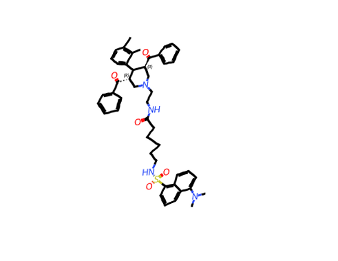 Cc1cccc(C2[C@@H](C(=O)c3ccccc3)CN(CCNC(=O)CCCCCNS(=O)(=O)c3cccc4c(N(C)C)cccc34)C[C@@H]2C(=O)c2ccccc2)c1C